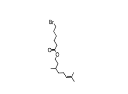 CC(C)=CCCC(C)CCOC(=O)CCCCCBr